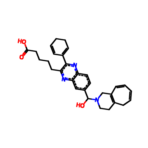 O=C(O)CCCCc1nc2cc(C(O)N3CCC4=C(C=CC=CC4)C3)ccc2nc1C1=CCCC=C1